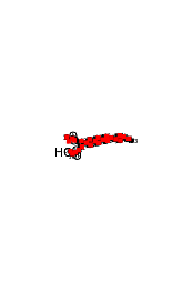 C=C(CC)C(=O)OCCCC(CCCOC(=O)C(=C)CO)c1ccc(C2CCC(c3ccc(CCC4CCC(CCCCC)CC4)cc3)CC2)cc1